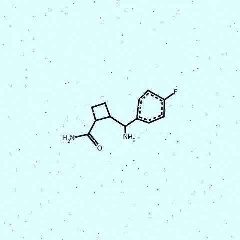 NC(=O)C1CCC1C(N)c1ccc(F)cc1